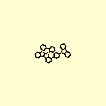 c1ccc(-c2ccccc2-n2c3oc4ccccc4c3c3cccc(-c4ccc(-n5c6ccccc6c6ccccc65)cc4)c32)cc1